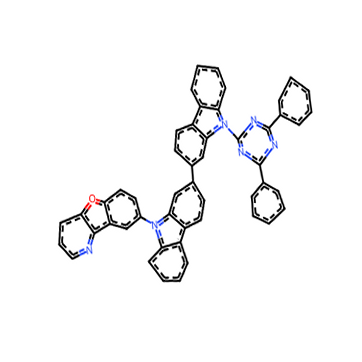 c1ccc(-c2nc(-c3ccccc3)nc(-n3c4ccccc4c4ccc(-c5ccc6c7ccccc7n(-c7ccc8oc9cccnc9c8c7)c6c5)cc43)n2)cc1